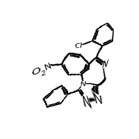 O=[N+]([O-])c1ccc2c(c1)-n1c(nnc1-c1ccccc1)CN=C2c1ccccc1Cl